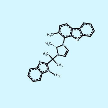 Cc1ccc2c(oc3ccccc32)c1N1C=CN(C(C)(C)c2nc3ccccc3n2C)[C@@H]1C